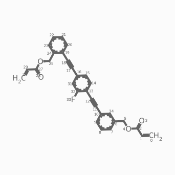 C=CC(=O)OCc1cccc(C#Cc2ccc(C#Cc3ccccc3COC(=O)C=C)cc2F)c1